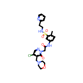 Cc1ccc(NC(=O)Cn2ncc(Cl)c(CN3CCOCC3)c2=O)cc1S(=O)(=O)NCCc1ccccn1